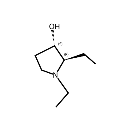 CC[C@@H]1[C@@H](O)CCN1CC